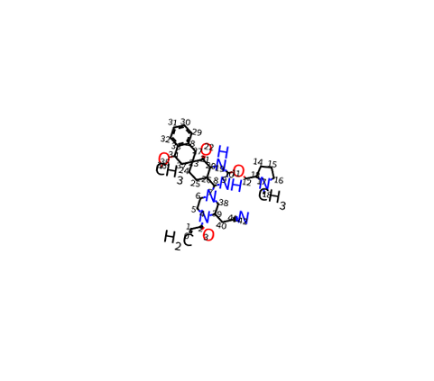 C=CC(=O)N1CCN(C2NC(OCC3CCCN3C)NC3C(=O)C4(CCC32)Cc2ccccc2C(OC)C4)CC1CC#N